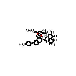 [2H]c1c(C)c([2H])c2c(c1[2H])c(=O)c([2H])c(SC([2H])([2H])c1cccc(F)c1F)n2CC(=O)N(Cc1ccc(-c2ccc(C(F)(F)F)cc2)cc1)C1CCN(CCOC)CC1